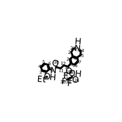 CCOc1ccccc1NC(=O)CCC(=O)c1ccc2c(c1)CCNCC2.O=C(O)C(F)(F)F